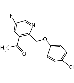 CC(=O)c1cc(F)cnc1COc1ccc(Cl)cc1